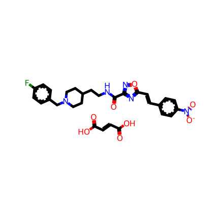 O=C(NCCC1CCN(Cc2ccc(F)cc2)CC1)c1noc(C=Cc2ccc([N+](=O)[O-])cc2)n1.O=C(O)C=CC(=O)O